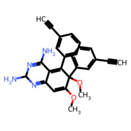 C#Cc1cccc(C2=C3C(N)=NC(N)N=C3C=C(OC)C2(OC)c2cccc(C#C)c2)c1